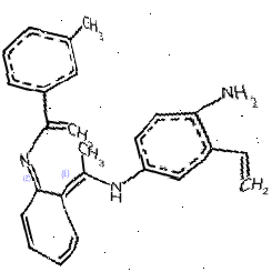 C=Cc1cc(N/C(C)=C2\C=CC=C\C2=N\C(=C)c2cccc(C)c2)ccc1N